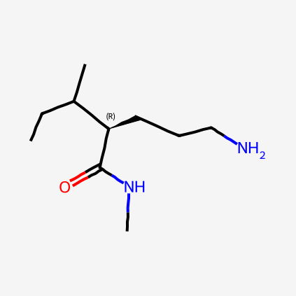 CCC(C)[C@@H](CCCN)C(=O)NC